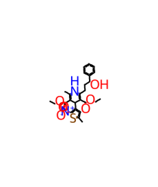 CCOC(=O)C1=C(C)NC(CCC(O)c2ccccc2)=C(C(=O)OCC)C1c1cc(C)sc1[N+](=O)[O-]